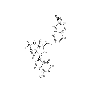 CC1(C)O[C@@H]2[C@@H](CCc3ccc4ncc(N)nc4c3)C[C@@H](n3ccc4c(Cl)ncnc43)[C@@H]2O1